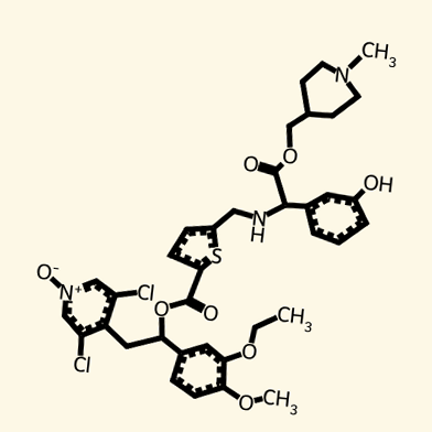 CCOc1cc(C(Cc2c(Cl)c[n+]([O-])cc2Cl)OC(=O)c2ccc(CNC(C(=O)OCC3CCN(C)CC3)c3cccc(O)c3)s2)ccc1OC